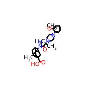 COc1ccccc1N1CCN(C(C)(C)C(=O)NC2C3CC4CC2C(C)C(C(=O)O)(C4)C3)CC1